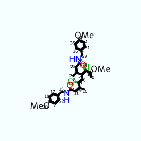 C=C(OC)/C(Cl)=C(\C=C(Cl)\C(C)=C/C(=O)NCc1ccc(OC)cc1)C(/C)=C\C(=O)NCc1ccc(OC)cc1